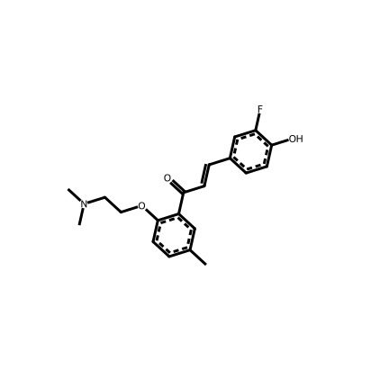 Cc1ccc(OCCN(C)C)c(C(=O)C=Cc2ccc(O)c(F)c2)c1